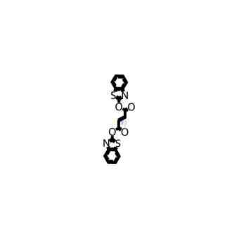 O=C(/C=C/C(=O)Oc1nc2ccccc2s1)Oc1nc2ccccc2s1